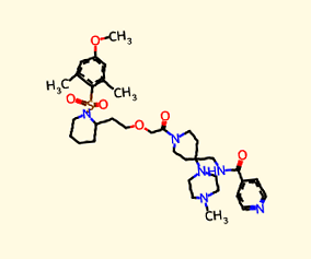 COc1cc(C)c(S(=O)(=O)N2CCCCC2CCOCC(=O)N2CCC(CNC(=O)c3ccncc3)(N3CCN(C)CC3)CC2)c(C)c1